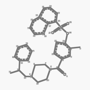 Cc1cc(C(=O)N2CCN(CC(C)c3ccccc3)CC2)ccc1OS(=O)(=O)c1cccc2cccnc12